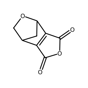 O=C1OC(=O)C2=C1C1COC2C1